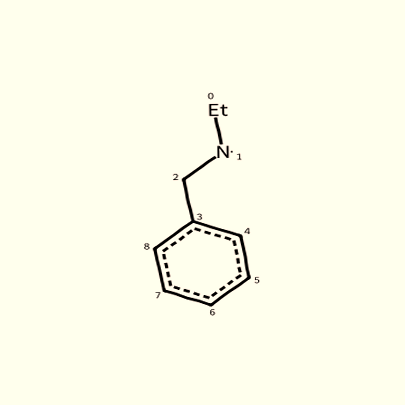 CC[N]Cc1ccccc1